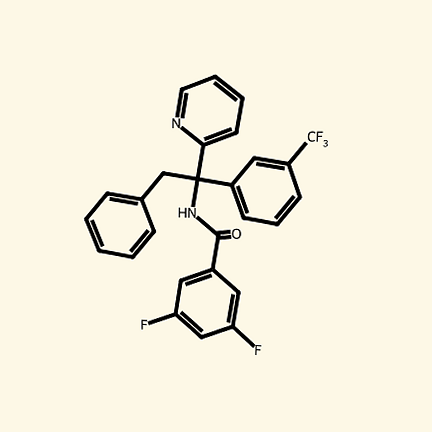 O=C(NC(Cc1ccccc1)(c1cccc(C(F)(F)F)c1)c1ccccn1)c1cc(F)cc(F)c1